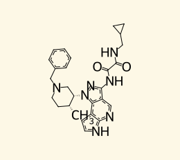 C[C@@H]1CCN(Cc2ccccc2)C[C@@H]1n1nc(NC(=O)C(=O)NCC2CC2)c2cnc3[nH]ccc3c21